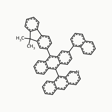 CC1(C)c2ccccc2-c2ccc(-c3c4ccccc4c(-c4c5ccccc5cc5ccncc45)c4ccc(-c5cccc6ccccc56)cc34)cc21